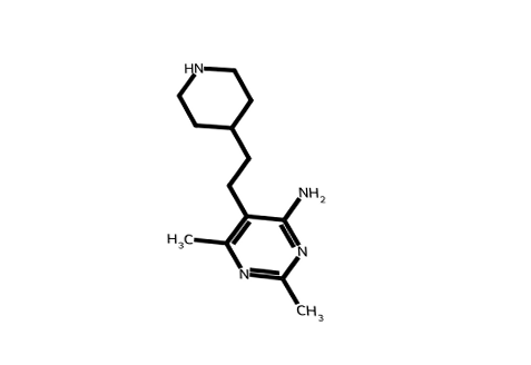 Cc1nc(C)c(CCC2CCNCC2)c(N)n1